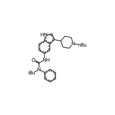 CCCCN1CCC(c2c[nH]c3ccc(NC(=O)N(c4ccccc4)C(C)CC)cc23)CC1